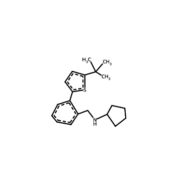 CC(C)(C)c1ccc(-c2ccccc2CNC2CCCC2)s1